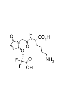 NCCCC[C@H](NC(=O)CN1C(=O)C=CC1=O)C(=O)O.O=C(O)C(F)(F)F